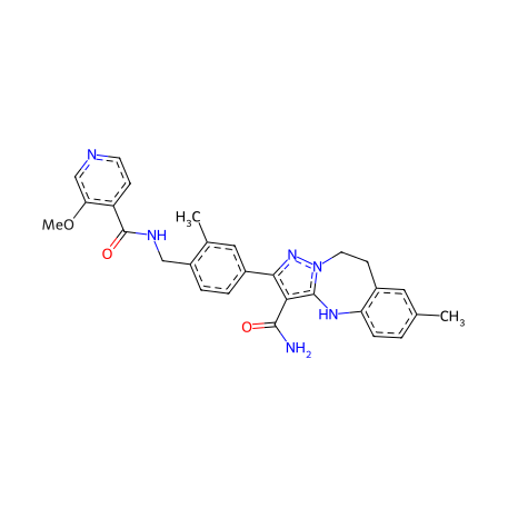 COc1cnccc1C(=O)NCc1ccc(-c2nn3c(c2C(N)=O)Nc2ccc(C)cc2CC3)cc1C